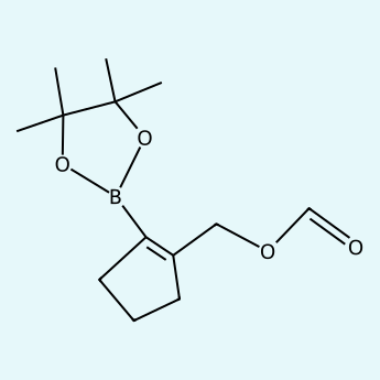 CC1(C)OB(C2=C(COC=O)CCC2)OC1(C)C